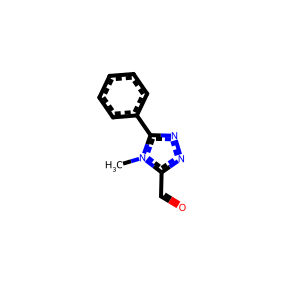 Cn1c(C=O)nnc1-c1ccccc1